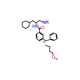 CNCC(CC1CCCCC1)NC(=O)c1cccc([C@@H](CCCCOC)c2ccccc2)c1